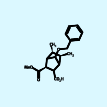 COC(=O)[C@@H]1C(C(=O)O)C2C(OCc3ccccc3)C1[C@H](C)[C@H]2C